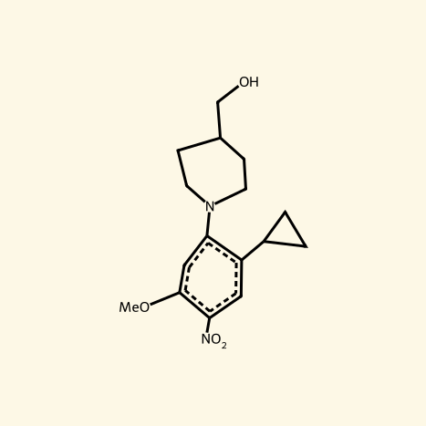 COc1cc(N2CCC(CO)CC2)c(C2CC2)cc1[N+](=O)[O-]